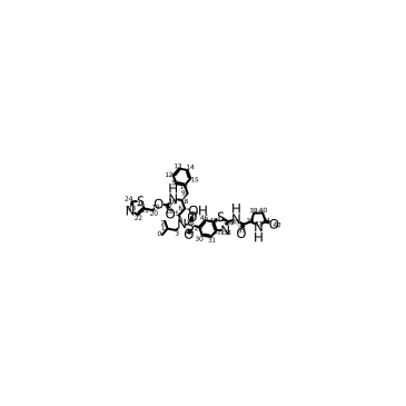 CC(C)CN(C[C@@H](O)[C@H](Cc1ccccc1)NC(=O)OCc1cncs1)S(=O)(=O)c1ccc2nc(NC(=O)C3CCC(=O)N3)sc2c1